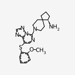 COc1ccccc1Sc1cnc(N2CCC3(CCC[C@H]3N)CC2)n2ncnc12